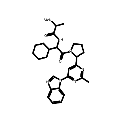 CNC(C)C(=O)NC(C(=O)N1CCCC1c1cc(-n2cnc3ccccc32)nc(C)n1)C1CCCCC1